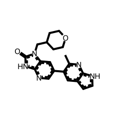 Cc1nc2[nH]ccc2cc1-c1cnc2[nH]c(=O)n(CC3CCOCC3)c2c1